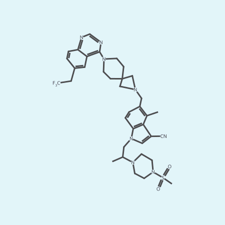 Cc1c(CN2CC3(CCN(c4ncnc5ccc(CC(F)(F)F)cc45)CC3)C2)ccc2c1c(C#N)cn2CC(C)N1CCN(S(C)(=O)=O)CC1